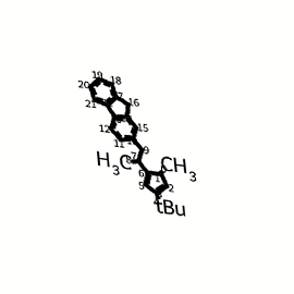 CC1C=C(C(C)(C)C)C=C1C(C)Cc1ccc2c(c1)Cc1ccccc1-2